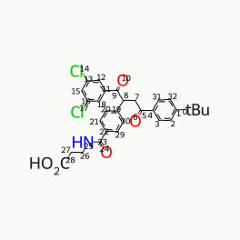 CC(C)(C)c1ccc(C(=O)CC(C(=O)c2cc(Cl)cc(Cl)c2)c2ccc(C(=O)NCCC(=O)O)cc2)cc1